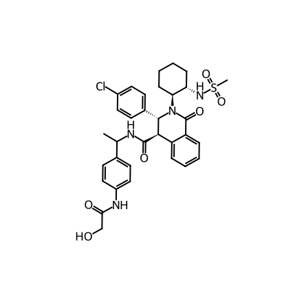 CC(NC(=O)[C@@H]1c2ccccc2C(=O)N([C@H]2CCCC[C@@H]2NS(C)(=O)=O)[C@H]1c1ccc(Cl)cc1)c1ccc(NC(=O)CO)cc1